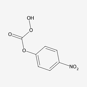 O=C(OO)Oc1ccc([N+](=O)[O-])cc1